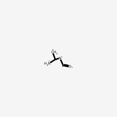 CC(N)[N]C=O